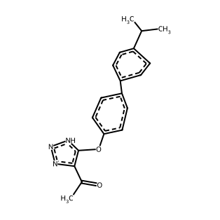 CC(=O)c1nn[nH]c1Oc1ccc(-c2ccc(C(C)C)cc2)cc1